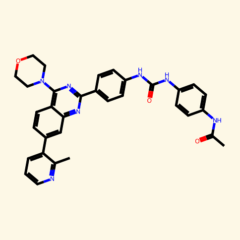 CC(=O)Nc1ccc(NC(=O)Nc2ccc(-c3nc(N4CCOCC4)c4ccc(-c5cccnc5C)cc4n3)cc2)cc1